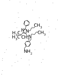 CCCCN(Cc1ccc(CN)cc1)Cc1c(C(C)(C)C)nc(-c2ccccc2)n1CCCC